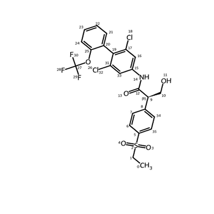 CCS(=O)(=O)c1ccc([C@H](CO)C(=O)Nc2cc(Cl)c(-c3ccccc3OC(F)(F)F)c(Cl)c2)cc1